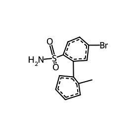 Cc1ccccc1-c1cc(Br)ccc1S(N)(=O)=O